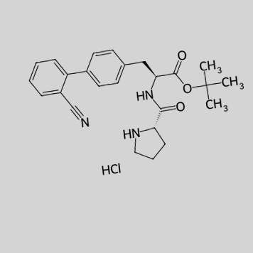 CC(C)(C)OC(=O)[C@H](Cc1ccc(-c2ccccc2C#N)cc1)NC(=O)[C@@H]1CCCN1.Cl